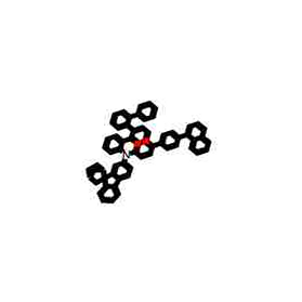 c1ccc(-c2ccccc2-c2ccccc2-c2ccccc2N(c2ccc(-c3ccc(-c4cccc5ccccc45)cc3)cc2)c2ccc3c(c2)C2(CC4CCC2C4)c2ccccc2-3)cc1